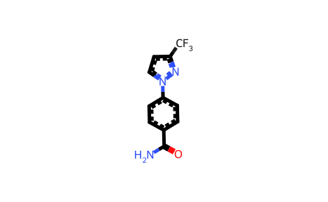 NC(=O)c1ccc(-n2ccc(C(F)(F)F)n2)cc1